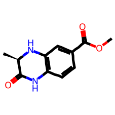 COC(=O)c1ccc2c(c1)N[C@H](C)C(=O)N2